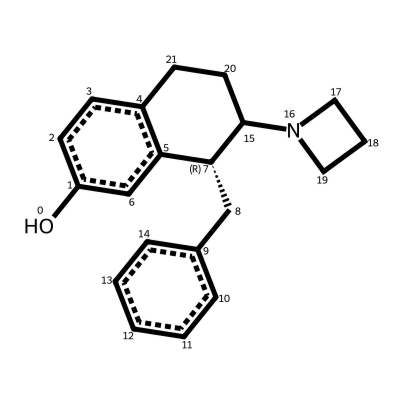 Oc1ccc2c(c1)[C@@H](Cc1ccccc1)C(N1CCC1)CC2